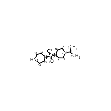 CC(C)N1CCN(S(=O)(=O)N2CCNCC2)CC1